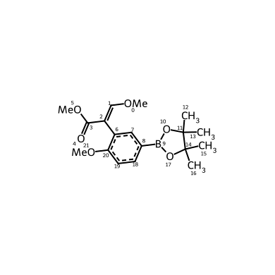 CO/C=C(/C(=O)OC)c1cc(B2OC(C)(C)C(C)(C)O2)ccc1OC